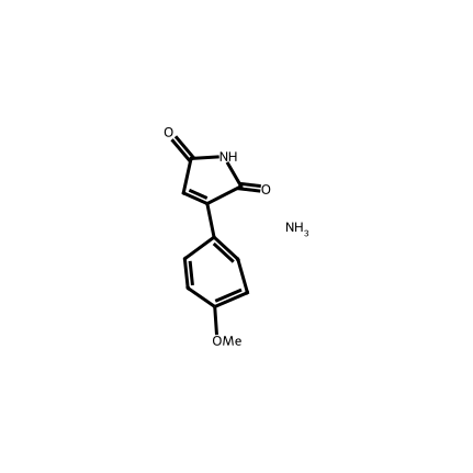 COc1ccc(C2=CC(=O)NC2=O)cc1.N